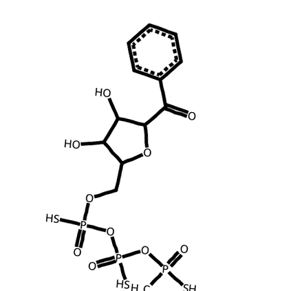 CP(=O)(S)OP(=O)(S)OP(=O)(S)OCC1OC(C(=O)c2ccccc2)C(O)C1O